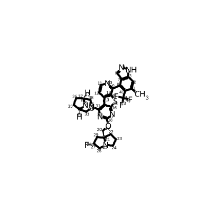 Cc1cc2[nH]ncc2c(-c2nccc3c2sc2nc(OC[C@@]45CCCN4C[C@H](F)C5)nc(N4C[C@H]5CC[C@@H](C4)N5)c23)c1C(F)(F)F